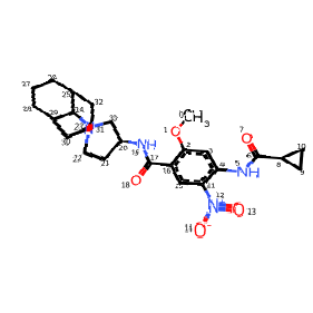 COc1cc(NC(=O)C2CC2)c([N+](=O)[O-])cc1C(=O)N[C@H]1CCN(C2C3CCCC2CCC3)C1